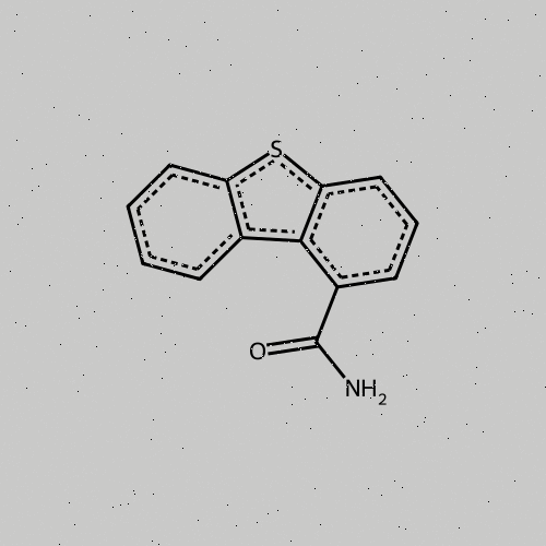 NC(=O)c1cccc2sc3ccccc3c12